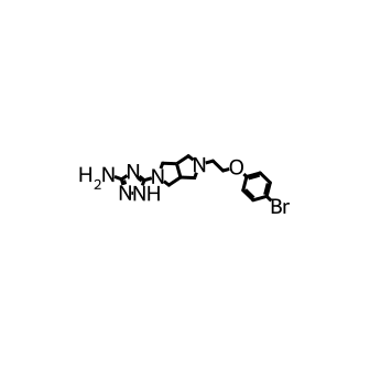 Nc1n[nH]c(N2CC3CN(CCOc4ccc(Br)cc4)CC3C2)n1